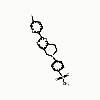 CS(=O)(=O)c1ccc(N2CCc3nc(-c4ccc(F)cn4)ncc3C2)cc1